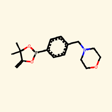 C=C1OB(c2ccc(CN3CCOCC3)cc2)OC1(C)C